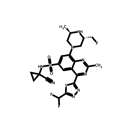 Cc1nc(-c2nnc(C(F)F)s2)c2cc(S(=O)(=O)NC3(C#N)CC3)cc(N3C[C@@H](CF)N[C@H](C)C3)c2n1